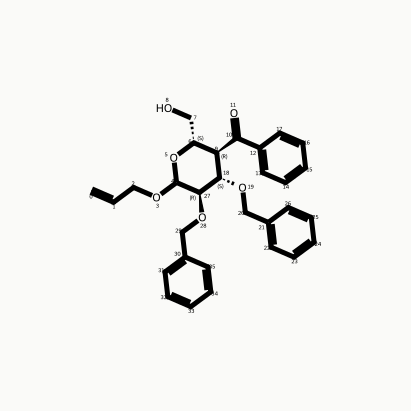 C=CCOC1O[C@H](CO)[C@@H](C(=O)c2ccccc2)[C@H](OCc2ccccc2)[C@H]1OCc1ccccc1